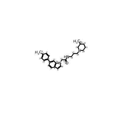 Cc1ccc(-c2ccc3ccn(CC(=O)NCCCN4CCCC(C)C4)c3c2)cc1